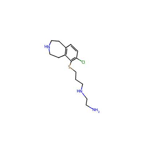 NCCNCCCSc1c(Cl)ccc2c1CCNCC2